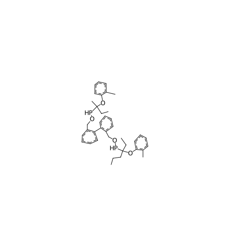 CCCC(CC)(Oc1ccccc1C)POCc1ccccc1-c1ccccc1COPC(C)(CC)Oc1ccccc1C